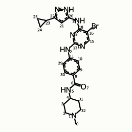 CN1CCC(NC(=O)c2ccc(Nc3ncc(Br)c(Nc4cc(C5CC5)n[nH]4)n3)cc2)CC1